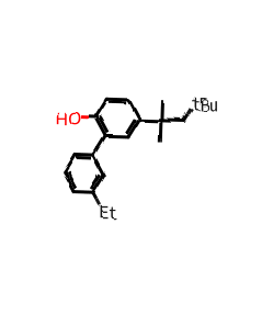 CCc1cccc(-c2cc(C(C)(C)CC(C)(C)C)ccc2O)c1